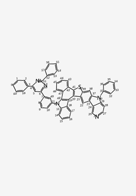 c1ccc(-c2cc(-c3cccc(-n4c5ccccc5c5c6c7cc8c9cnccc9n(-c9ccccc9)c8cc7sc6c6ccccc6c54)c3)nc(-c3ccccc3)n2)cc1